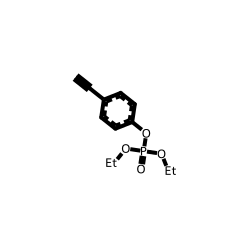 C#Cc1ccc(OP(=O)(OCC)OCC)cc1